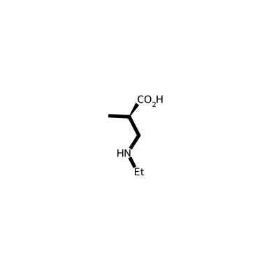 CCNC[C@@H](C)C(=O)O